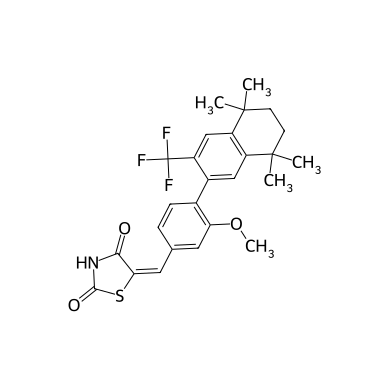 COc1cc(C=C2SC(=O)NC2=O)ccc1-c1cc2c(cc1C(F)(F)F)C(C)(C)CCC2(C)C